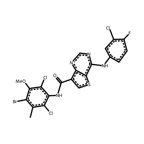 COc1c(Cl)c(NC(=O)c2csc3c(Nc4ccc(F)c(Cl)c4)ncnc23)c(Cl)c(C)c1Br